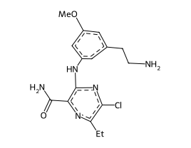 CCc1nc(C(N)=O)c(Nc2cc(CCN)cc(OC)c2)nc1Cl